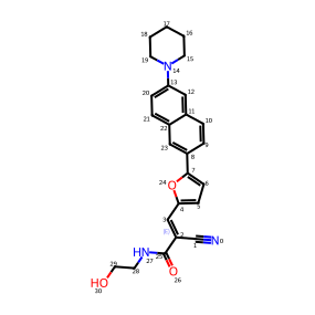 N#C/C(=C\c1ccc(-c2ccc3cc(N4CCCCC4)ccc3c2)o1)C(=O)NCCO